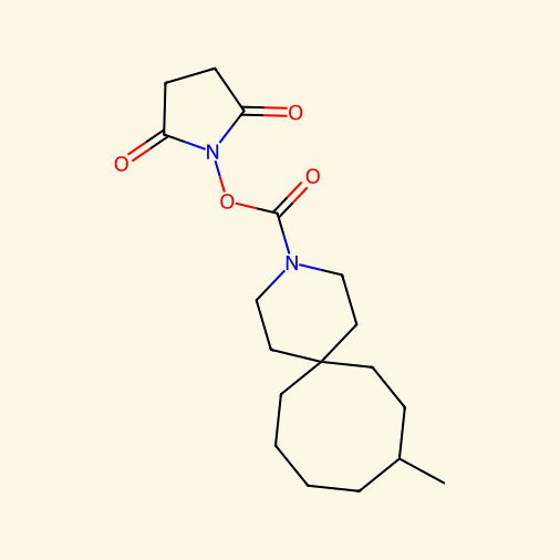 CC1CCCCC2(CC1)CCN(C(=O)ON1C(=O)CCC1=O)CC2